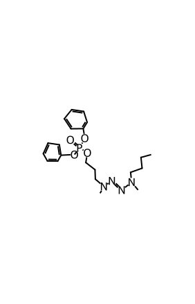 CCCCN(C)/N=N/N(C)CCCOP(=O)(Oc1ccccc1)Oc1ccccc1